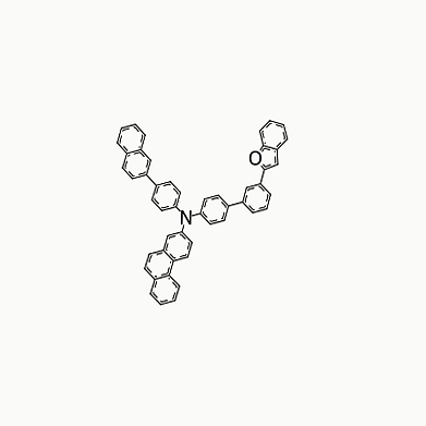 c1cc(-c2ccc(N(c3ccc(-c4ccc5ccccc5c4)cc3)c3ccc4c(ccc5ccccc54)c3)cc2)cc(-c2cc3ccccc3o2)c1